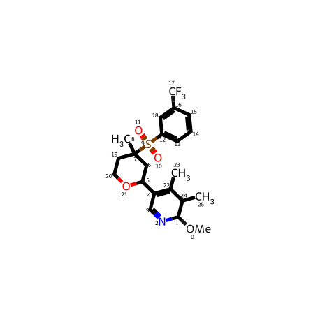 COC1N=CC(C2CC(C)(S(=O)(=O)c3cccc(C(F)(F)F)c3)CCO2)=C(C)C1C